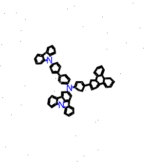 C1=CCC2C(=C1)C1=CC=C(C3=CC=C(N(c4ccc(-c5ccc(-n6c7ccccc7c7ccccc76)cc5)cc4)c4cc5c6ccccc6n6c7ccccc7c(c4)c56)CC3)CC1c1ccccc12